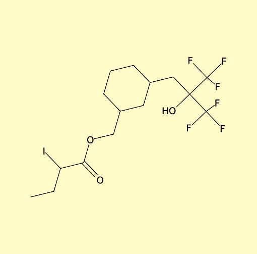 CCC(I)C(=O)OCC1CCCC(CC(O)(C(F)(F)F)C(F)(F)F)C1